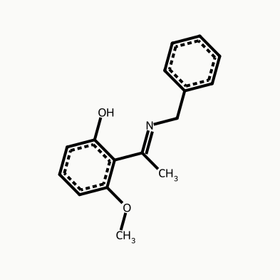 COc1cccc(O)c1C(C)=NCc1ccccc1